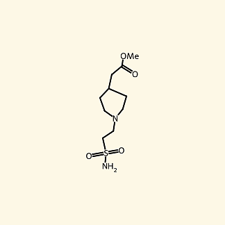 COC(=O)CC1CCN(CCS(N)(=O)=O)CC1